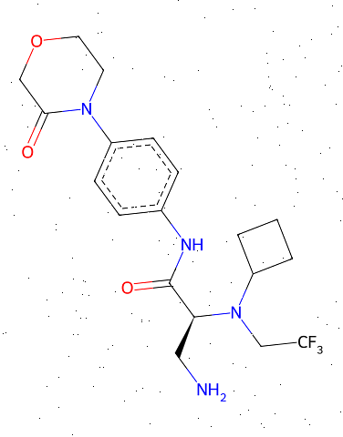 NC[C@@H](C(=O)Nc1ccc(N2CCOCC2=O)cc1)N(CC(F)(F)F)C1CCC1